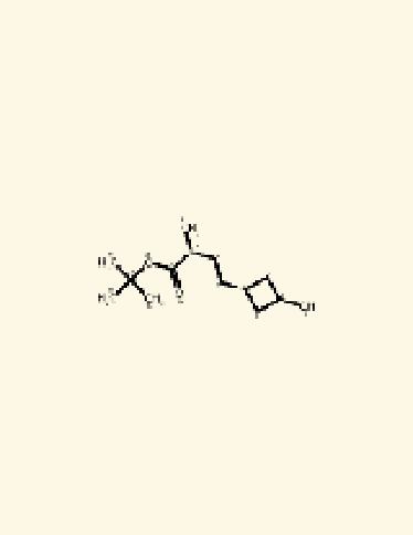 CN(CC[C@H]1C[C@@H](O)C1)C(=O)OC(C)(C)C